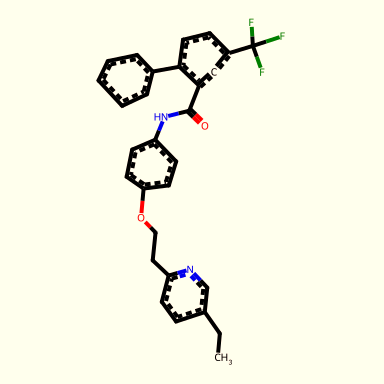 CCc1ccc(CCOc2ccc(NC(=O)c3cc(C(F)(F)F)ccc3-c3ccccc3)cc2)nc1